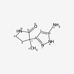 CC1(c2cc(N)[nH]n2)CCNC1=O